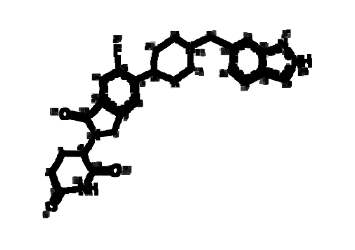 O=C1CCC(N2Cc3cc(C4CCN(Cc5ccc6c[nH]nc6c5)CC4)c(F)cc3C2=O)C(=O)N1